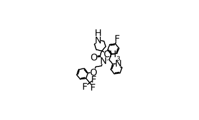 CC1(C(=O)N(CCOc2ccccc2C(F)(F)F)[C@H](c2ccc(F)cc2)c2ccccn2)CCNCC1